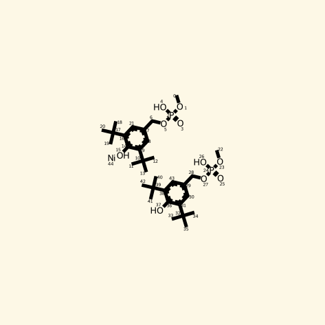 COP(=O)(O)OCc1cc(C(C)(C)C)c(O)c(C(C)(C)C)c1.COP(=O)(O)OCc1cc(C(C)(C)C)c(O)c(C(C)(C)C)c1.[Ni]